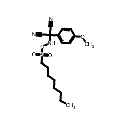 CCCCCCCCS(=O)(=O)ONC(C#N)(C#N)c1ccc(OC)cc1